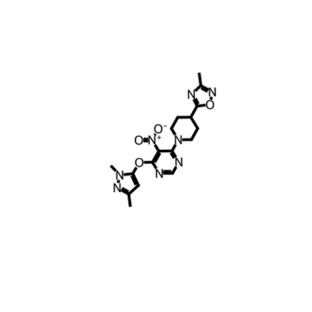 Cc1cc(Oc2ncnc(N3CCC(c4nc(C)no4)CC3)c2[N+](=O)[O-])n(C)n1